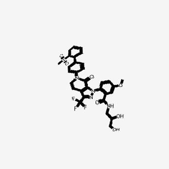 COc1ccc(-n2nc(C(F)(F)F)c3c2C(=O)N(c2ccc(-c4ccccc4S(C)(=O)=O)cc2)CC3)c(C(=O)NCC(O)CO)c1